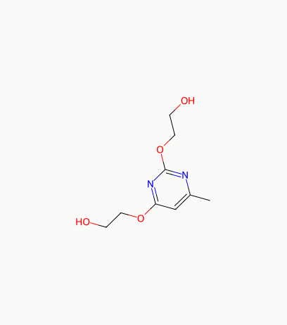 Cc1cc(OCCO)nc(OCCO)n1